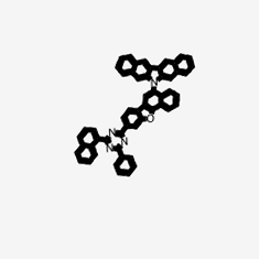 c1ccc(-c2nc(-c3ccc4c(c3)oc3c5ccccc5c(-n5c6cc7ccccc7cc6c6cc7ccccc7cc65)cc43)nc(-c3cccc4ccccc34)n2)cc1